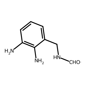 Nc1cccc(CN[C]=O)c1N